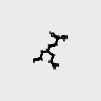 C=CCC(/C=C/C(=O)O)CCO